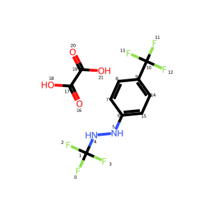 FC(F)(F)NNc1ccc(C(F)(F)F)cc1.O=C(O)C(=O)O